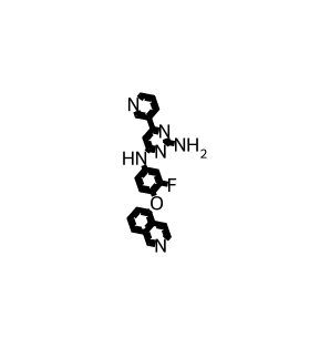 Nc1nc(Nc2ccc(Oc3cccc4cnccc34)c(F)c2)cc(-c2cccnc2)n1